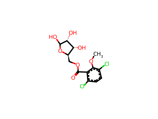 COc1c(Cl)ccc(Cl)c1C(=O)OC[C@H]1OC(O)[C@H](O)[C@@H]1O